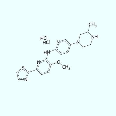 COc1ccc(-c2nccs2)nc1Nc1ccc(N2CCNC(C)C2)cn1.Cl.Cl